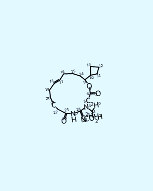 [2H]C([2H])([2H])N1CC(=O)OC(C2CCC2)CCC/C=C/CCCCC(=O)N/C1=N/C(=O)O